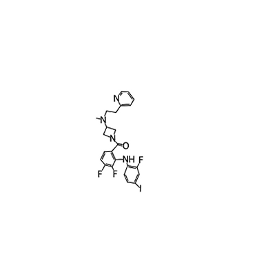 CN(CCc1ccccn1)C1CN(C(=O)c2ccc(F)c(F)c2Nc2ccc(I)cc2F)C1